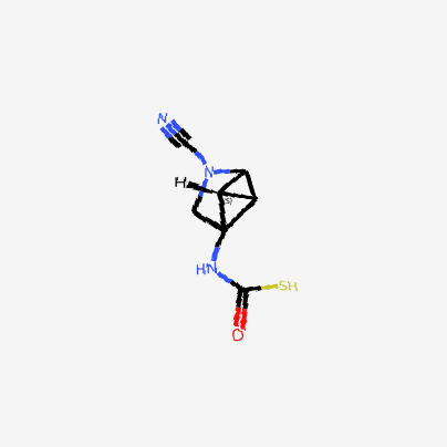 N#CN1CC2(NC(=O)S)C3C1[C@H]32